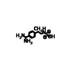 C.NC(N)c1ccc(CCNS(=O)(=O)O)cc1